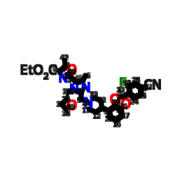 CCOC(=O)c1nc(-c2c(C)nc(CN3CCC(c4cccc5c4O[C@@](C)(c4ccc(C#N)cc4F)O5)CC3)n2C[C@@H]2CCO2)oc1C